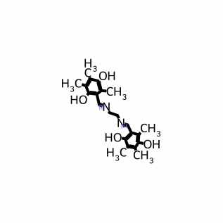 Cc1c(C)c(O)c(/C=N/CC/N=C/c2c(C)c(O)c(C)c(C)c2O)c(C)c1O